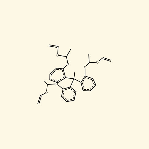 C=COC(C)Oc1ccccc1C(C)(c1ccccc1OC(C)OC=C)c1ccccc1OC(C)OC=C